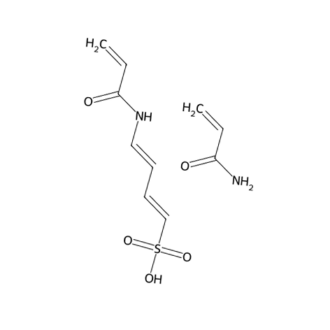 C=CC(=O)NC=CC=CS(=O)(=O)O.C=CC(N)=O